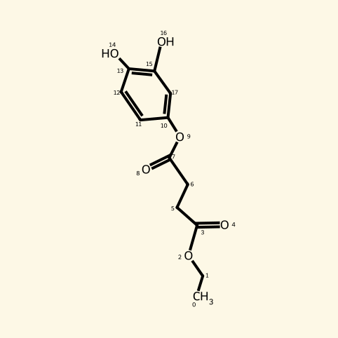 CCOC(=O)CCC(=O)Oc1ccc(O)c(O)c1